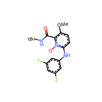 COc1ccc(Nc2cc(F)cc(F)c2)[n+]([O-])c1C(=O)NC(C)(C)C